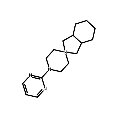 c1cnc(N2CC[N+]3(CC2)CC2CCCCC2C3)nc1